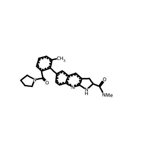 CNC(=O)C1Cc2cc3cc(-c4c(C)cccc4C(=O)N4CCCC4)ccc3nc2N1